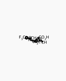 C#CCN(C)S(=O)(=O)N(CC(=O)O)Cc1cccc(OCCc2nc(-c3ccc(C(F)(F)F)cc3)oc2C)c1